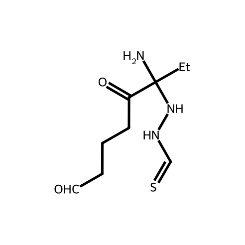 [CH2]CC(N)(NNC=S)C(=O)CCCC=O